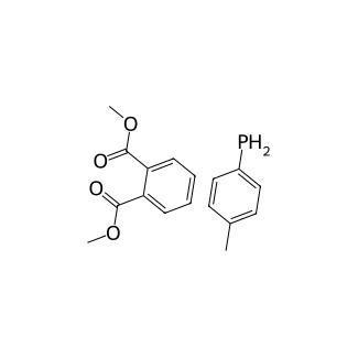 COC(=O)c1ccccc1C(=O)OC.Cc1ccc(P)cc1